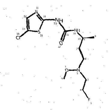 CON(CCF)CC[C@H](C)NC(=O)Nc1ncc(Cl)s1